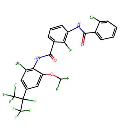 O=C(Nc1cccc(C(=O)Nc2c(Br)cc(C(F)(C(F)(F)F)C(F)(F)F)cc2OC(F)F)c1F)c1ccccc1Cl